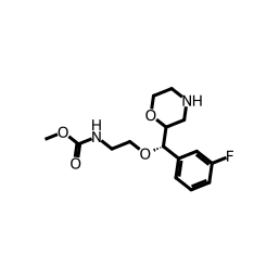 COC(=O)NCCO[C@@H](c1cccc(F)c1)C1CNCCO1